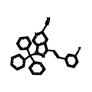 N#Cc1cc2c(C=Cc3cccc(F)c3)nn(C(c3ccccc3)(c3ccccc3)c3ccccc3)c2cn1